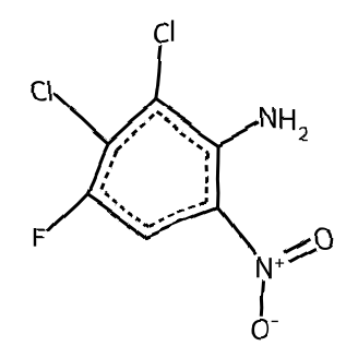 Nc1c([N+](=O)[O-])cc(F)c(Cl)c1Cl